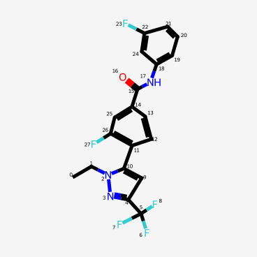 CCn1nc(C(F)(F)F)cc1-c1ccc(C(=O)Nc2cccc(F)c2)cc1F